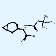 CC(C)(C)OC(=O)N[C@H](C(=O)O)C1CC2CC2C1